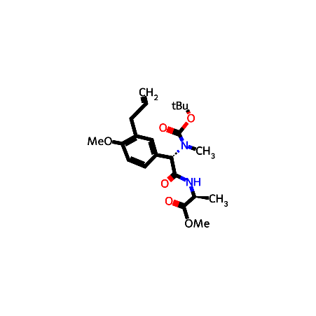 C=CCc1cc([C@@H](C(=O)N[C@@H](C)C(=O)OC)N(C)C(=O)OC(C)(C)C)ccc1OC